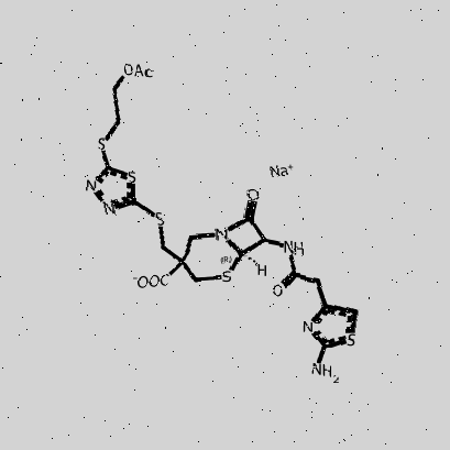 CC(=O)OCCSc1nnc(SCC2(C(=O)[O-])CS[C@@H]3C(NC(=O)Cc4csc(N)n4)C(=O)N3C2)s1.[Na+]